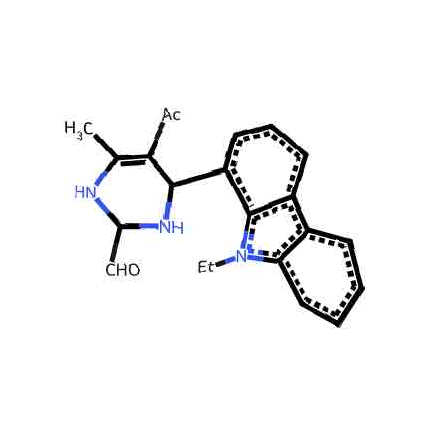 CCn1c2ccccc2c2cccc(C3NC(C=O)NC(C)=C3C(C)=O)c21